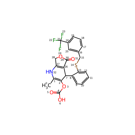 CC1=C(OC(=O)O)C(c2ccccc2SCc2cccc(C(F)(F)F)c2)C2=C(COC2=O)N1